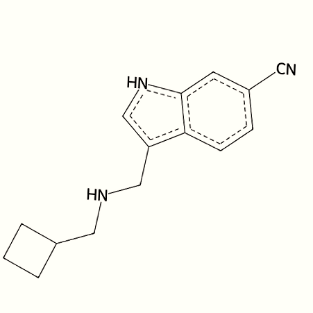 N#Cc1ccc2c(CNCC3CCC3)c[nH]c2c1